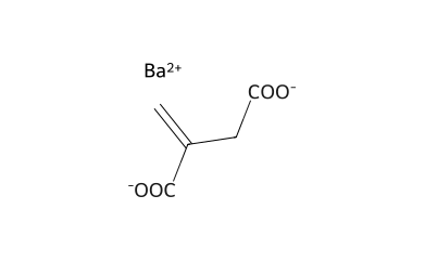 C=C(CC(=O)[O-])C(=O)[O-].[Ba+2]